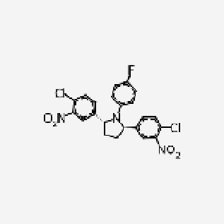 O=[N+]([O-])c1cc([C@H]2CC[C@H](c3ccc(Cl)c([N+](=O)[O-])c3)N2c2ccc(F)cc2)ccc1Cl